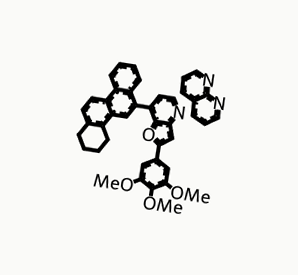 COc1cc(-c2cc3nccc(-c4cc5c6c(ccc5c5ccccc45)CCCC6)c3o2)cc(OC)c1OC.c1cnc2ncccc2c1